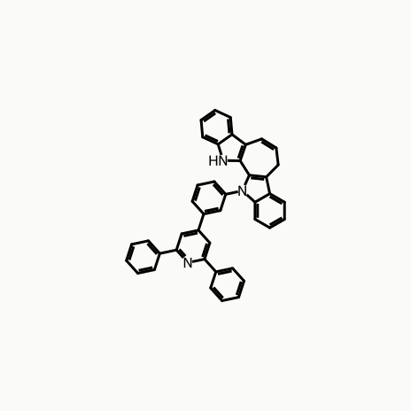 C1=Cc2c([nH]c3ccccc23)-c2c(c3ccccc3n2-c2cccc(-c3cc(-c4ccccc4)nc(-c4ccccc4)c3)c2)C1